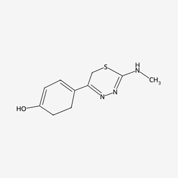 CNC1=NN=C(C2=CC=C(O)CC2)CS1